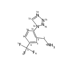 NCc1cc(C(F)(F)F)ccc1-n1cnnn1